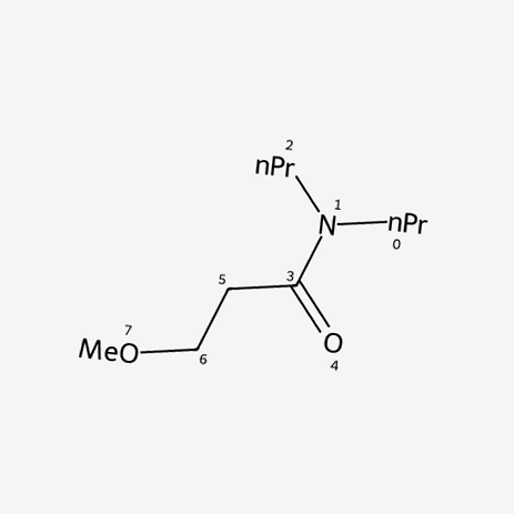 CCCN(CCC)C(=O)CCOC